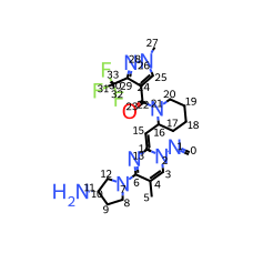 C=NN1C=C(C)C(N2CC[C@H](N)C2)=N/C1=C/C1CCCCN1C(=O)c1cn(C)nc1C(F)(F)F